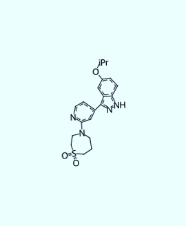 CC(C)Oc1ccc2[nH]nc(-c3ccnc(N4CCCS(=O)(=O)CC4)c3)c2c1